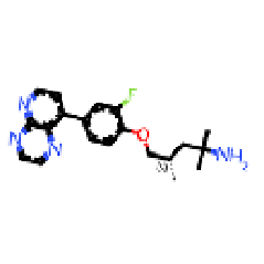 C[C@H](COc1ccc(-c2ccnc3nccnc23)cc1F)CC(C)(C)N